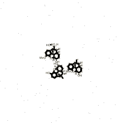 CN1CC[C@]23c4c5ccc(O)c4O[C@H]2[C@@H](O)C=C[C@H]3[C@H]1C5.COc1ccc2c3c1O[C@H]1[C@@H](O)C=C[C@H]4[C@@H](C2)N(C)CC[C@@]341.COc1ccc2c3c1O[C@H]1[C@@H](O)C=C[C@H]4[C@@H](C2)N(C)CC[C@@]341.O=S(=O)(O)O